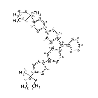 CCC(C)(CC)c1ccc(-c2ccc3c(c2)c2cc(-c4ccc(C(C)(CC)CC)cc4)ccc2n3-c2ccccc2)cc1